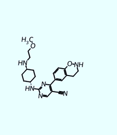 COCCN[C@H]1CC[C@H](Nc2ncc(C#N)c(-c3ccc4c(c3)CCNO4)n2)CC1